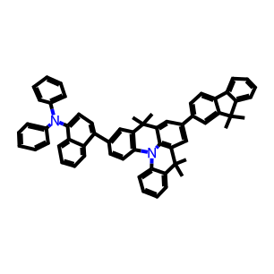 CC1(C)c2ccccc2-c2ccc(-c3cc4c5c(c3)C(C)(C)c3cc(-c6ccc(N(c7ccccc7)c7ccccc7)c7ccccc67)ccc3N5c3ccccc3C4(C)C)cc21